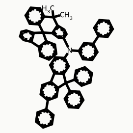 CC1(C)c2ccccc2C2(c3ccccc3-c3ccccc32)c2cc(N(c3cccc(-c4ccccc4)c3)c3ccc4c(c3)C(c3ccccc3)(c3ccccc3)c3cc(-c5ccccc5)ccc3-4)ccc21